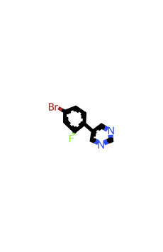 Fc1cc(Br)ccc1-c1cncnc1